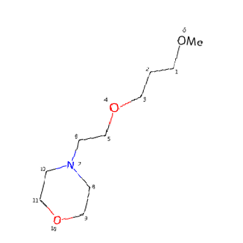 COCCCOCCN1CCOCC1